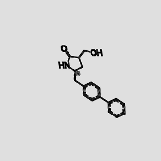 O=C1N[C@H](Cc2ccc(-c3ccccc3)cc2)CC1CO